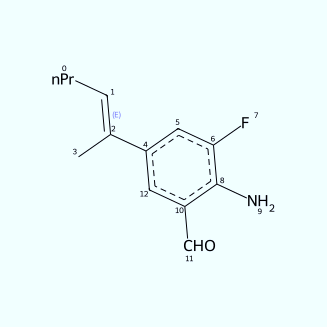 CCC/C=C(\C)c1cc(F)c(N)c(C=O)c1